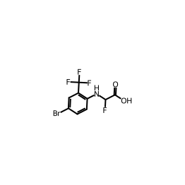 O=C(O)C(F)Nc1ccc(Br)cc1C(F)(F)F